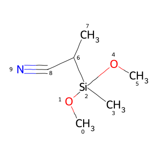 CO[Si](C)(OC)C(C)C#N